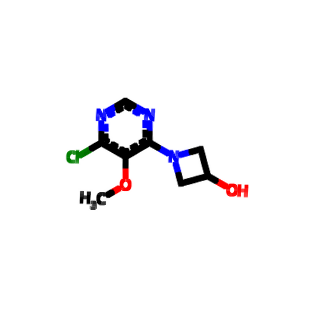 COc1c(Cl)ncnc1N1CC(O)C1